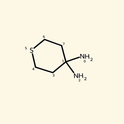 NC1(N)CCSCC1